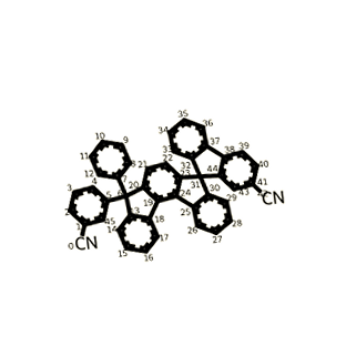 N#Cc1cccc(C2(c3ccccc3)c3ccccc3-c3c2ccc2c3-c3ccccc3C23c2ccccc2-c2ccc(C#N)cc23)c1